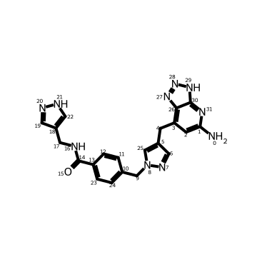 Nc1cc(Cc2cnn(Cc3ccc(C(=O)NCc4cn[nH]c4)cc3)c2)c2nn[nH]c2n1